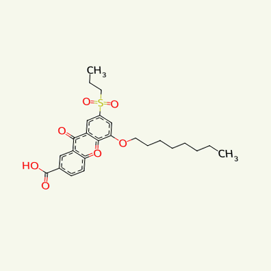 CCCCCCCCOc1cc(S(=O)(=O)CCC)cc2c(=O)c3cc(C(=O)O)ccc3oc12